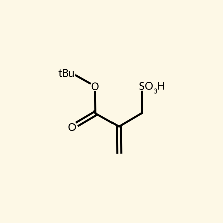 C=C(CS(=O)(=O)O)C(=O)OC(C)(C)C